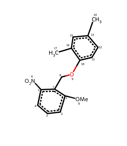 COc1cccc([N+](=O)[O-])c1COc1ccc(C)cc1C